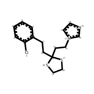 Clc1ccccc1CCC1(CCn2ccnc2)SCCS1